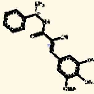 COc1cc(/C=C(\C#N)C(=O)N[C@@H](C)c2ccccc2)cc(OC)c1OC(C)=O